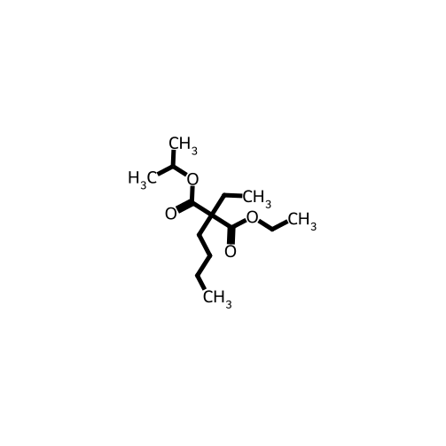 CCCCC(CC)(C(=O)OCC)C(=O)OC(C)C